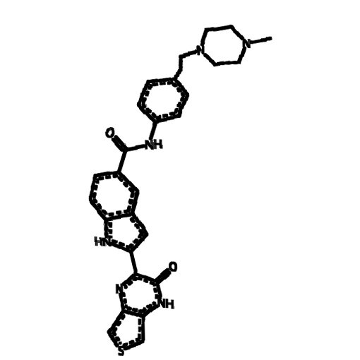 CN1CCN(Cc2ccc(NC(=O)c3ccc4[nH]c(-c5nc6cscc6[nH]c5=O)cc4c3)cc2)CC1